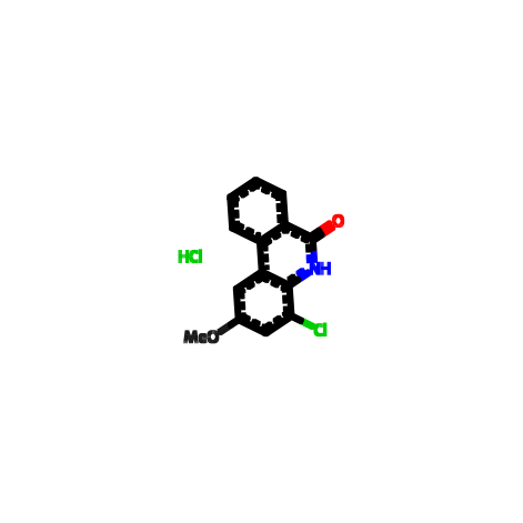 COc1cc(Cl)c2[nH]c(=O)c3ccccc3c2c1.Cl